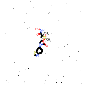 C[C@@](C[C@H]1CN(c2ccc3ncsc3c2)C(=O)O1)(C(=O)NO)S(C)(=O)=O